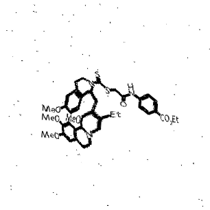 CCOC(=O)c1ccc(NC(=O)CSC(=S)N2CCc3cc(OC)c(OC)cc3C2CC2CC3c4cc(OC)c(OC)cc4CCN3CC2CC)cc1